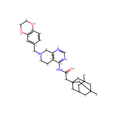 CC12CC3CC(C)(C1)CC(CC(=O)Nc1ncnc4c1CCN(Cc1ccc5c(c1)OCCO5)C4)(C3)C2